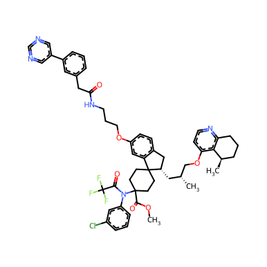 COC(=O)C1(N(C(=O)C(F)(F)F)c2cccc(Cl)c2)CCC2(CC1)c1cc(OCCCNC(=O)Cc3cccc(-c4cncnc4)c3)ccc1C[C@@H]2C[C@@H](C)COc1ccnc2c1[C@H](C)CCC2